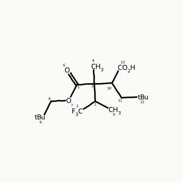 CC(C(F)(F)F)C(C)(C(=O)OCC(C)(C)C)C(CC(C)(C)C)C(=O)O